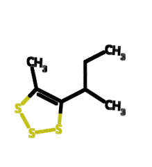 CCC(C)C1=C(C)SSS1